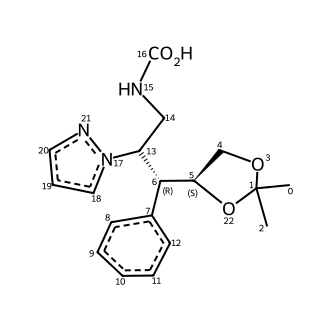 CC1(C)OC[C@H]([C@H](c2ccccc2)C(CNC(=O)O)n2cccn2)O1